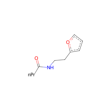 CCCC(=O)NCCc1ccco1